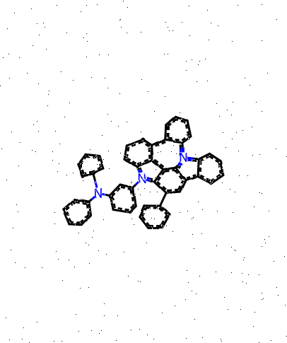 c1ccc(-c2cc3c4ccccc4n4c5ccccc5c5cccc6c5c(c2n6-c2cccc(N(c5ccccc5)c5ccccc5)c2)c34)cc1